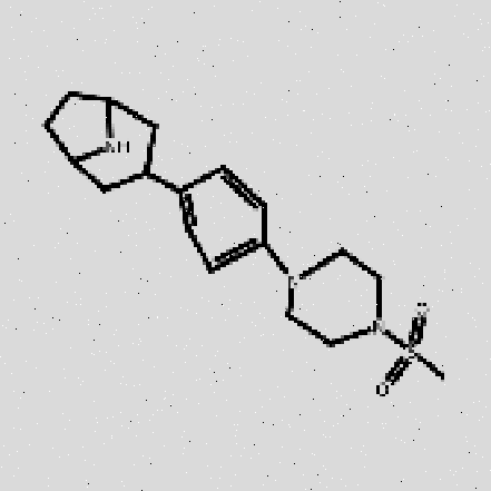 CS(=O)(=O)N1CCN(c2ccc(C3CC4CCC(C3)N4)cc2)CC1